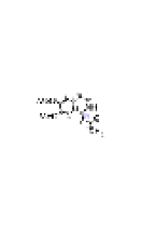 COc1cc2c(cc1OC)/C(=C/C(N)=O)NCC2